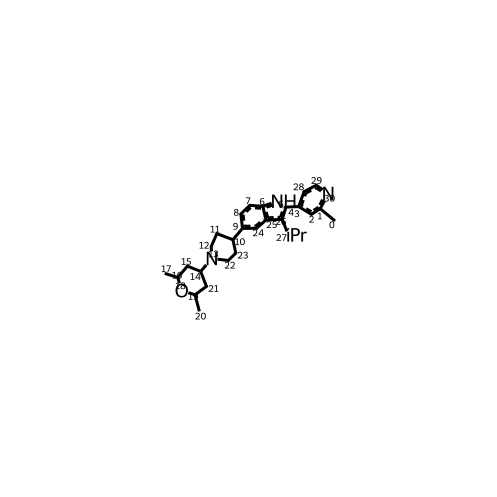 Cc1cc(-c2[nH]c3ccc(C4CCN(C5CC(C)OC(C)C5)CC4)cc3c2C(C)C)ccn1